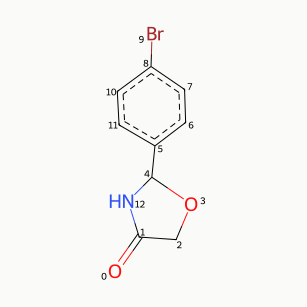 O=C1COC(c2ccc(Br)cc2)N1